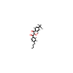 CCCCc1ccc(C(=O)C(OC)C(=O)c2ccc(C(C)(C)C)cc2)cc1